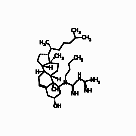 CCCCN(C(=N)NC(=N)N)C1C[C@H](O)CC2=CC[C@H]3[C@@H]4CC[C@H]([C@H](C)CCCC(C)C)[C@@]4(C)CC[C@@H]3[C@]21C